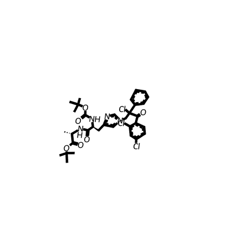 C[C@H](NC(=O)[C@H](Cc1cn(CC(Cl)(C(=O)c2ccc(Cl)cc2Cl)c2ccccc2)cn1)NC(=O)OC(C)(C)C)C(=O)OC(C)(C)C